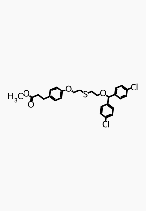 COC(=O)CCc1ccc(OCCSCCOC(c2ccc(Cl)cc2)c2ccc(Cl)cc2)cc1